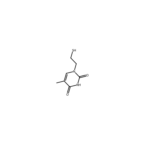 Cc1cn(CCS)c(=O)[nH]c1=O